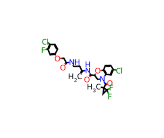 C=C(CCNC(=O)COc1ccc(Cl)c(F)c1)NC(=O)C1CN(C(=O)C2(C)CC2(F)F)c2cc(Cl)ccc2O1